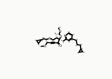 COCC#CC(=O)[C@](Cc1cc(CCCC2CC2)ccn1)(OCOC)[C@@H](C)CSCCC1CC1